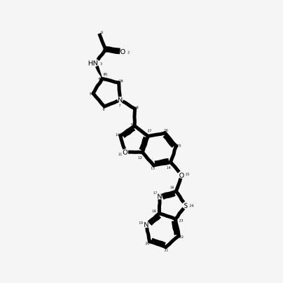 CC(=O)N[C@@H]1CCN(Cc2coc3cc(Oc4nc5ncccc5s4)ccc23)C1